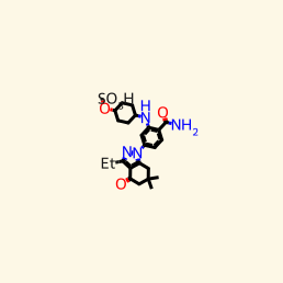 CCc1nn(-c2ccc(C(N)=O)c(NC3CCC(OS(=O)(=O)O)CC3)c2)c2c1C(=O)CC(C)(C)C2